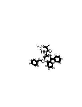 C[C@H](N)C(=O)NC1CN(CCc2ccccc2)c2ccccc2C(c2ccccc2)=N1